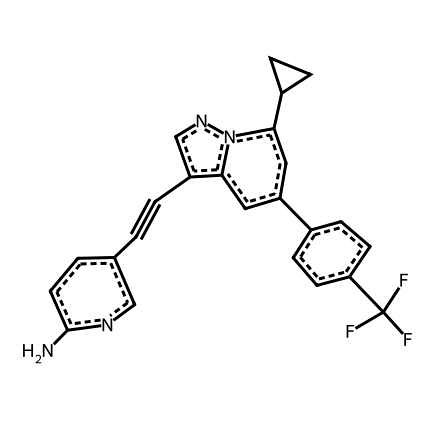 Nc1ccc(C#Cc2cnn3c(C4CC4)cc(-c4ccc(C(F)(F)F)cc4)cc23)cn1